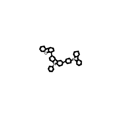 c1ccc(-n2c3ccc(-c4ccc(-n5c6ccccc6c6ccccc65)cc4)cc3c3cc(-c4cccc5c4oc4ccccc45)ccc32)cc1